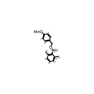 COc1ccc(CONc2c(C)cccc2C)cc1